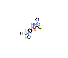 CN(c1c(F)cc(NC(=O)c2nc(N3CCCC3)oc2CC(F)(F)F)cc1F)C1CCCC1(F)F